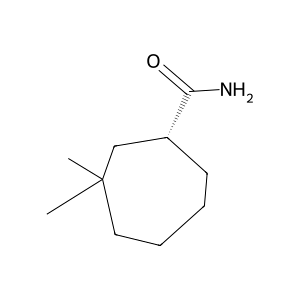 CC1(C)CCCC[C@@H](C(N)=O)C1